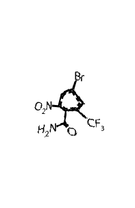 NC(=O)c1c([N+](=O)[O-])cc(Br)cc1C(F)(F)F